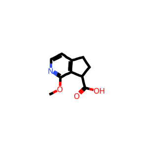 COc1nccc2c1C(C(=O)O)CC2